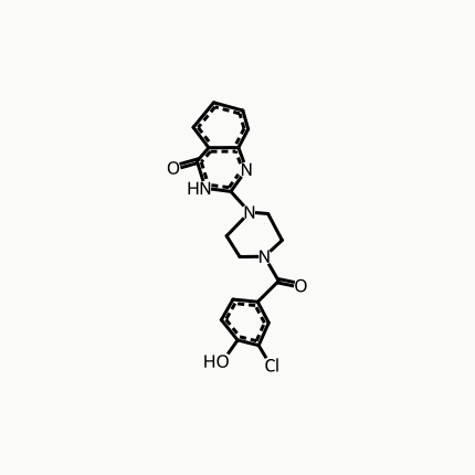 O=C(c1ccc(O)c(Cl)c1)N1CCN(c2nc3ccccc3c(=O)[nH]2)CC1